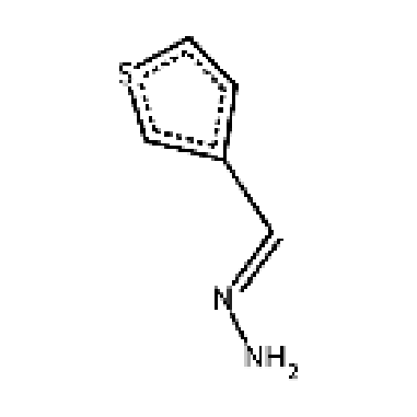 NN=Cc1ccsc1